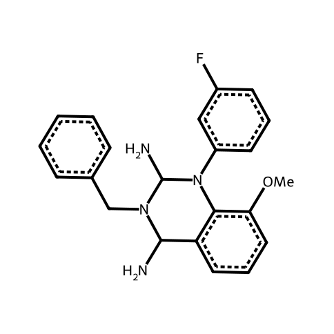 COc1cccc2c1N(c1cccc(F)c1)C(N)N(Cc1ccccc1)C2N